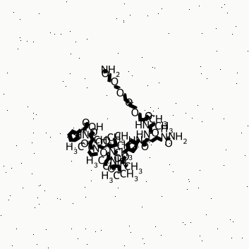 CC[C@H](C)[C@@H]([C@@H](CC(=O)N1CCC[C@H]1[C@H](OC)[C@@H](C)C(=O)N[C@@H](Cc1ccccc1)C(=O)O)OC)N(C)C(=O)[C@@H](NC(=O)C(C(C)C)N(C)C(=O)OCc1ccc(NC(=O)[C@H](CCCNC(N)=O)NC(=O)C(NC(=O)CCOCCOCCOCCOCCON)C(C)C)cc1)C(C)C